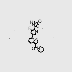 O=C(c1cnn2c(-c3cnc(-c4n[nH]c(=O)o4)c(F)c3)cccc12)N1CCCCC1